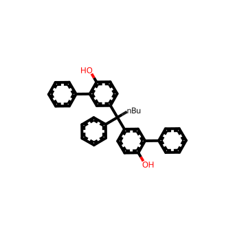 CCCCC(c1ccccc1)(c1ccc(O)c(-c2ccccc2)c1)c1ccc(O)c(-c2ccccc2)c1